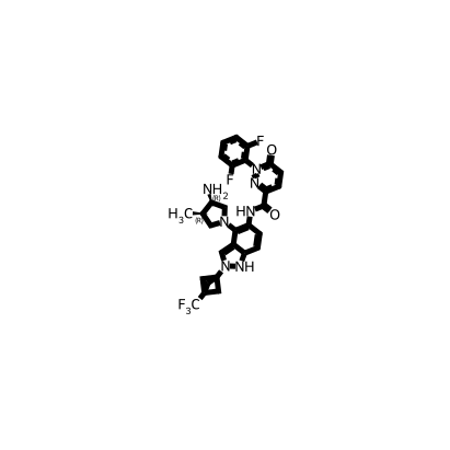 C[C@@H]1CN(C2=C(NC(=O)c3ccc(=O)n(-c4c(F)cccc4F)n3)C=CC3NN(C45CC(C(F)(F)F)(C4)C5)C=C23)C[C@@H]1N